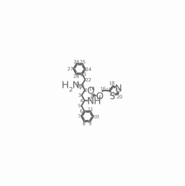 N[C@@H](CCC(Cc1ccccc1)NC(=O)OCc1cncs1)Cc1ccccc1